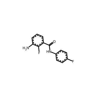 Nc1cccc(C(=O)Nc2ccc(F)cc2)c1F